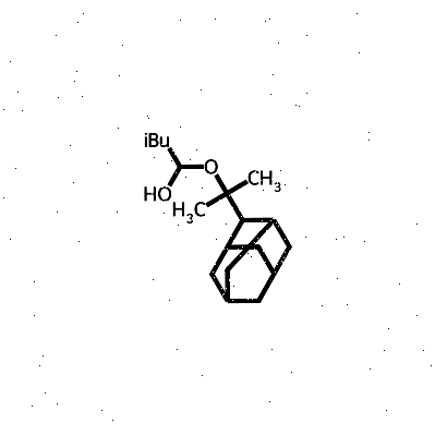 CCC(C)C(O)OC(C)(C)C1C2CC3CC(C2)CC1C3